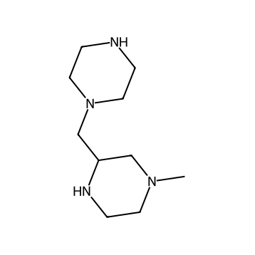 CN1CCNC(CN2CCNCC2)C1